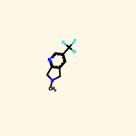 CN1Cc2cc(C(F)(F)F)cnc2C1